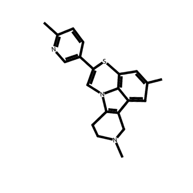 Cc1cc2c3c(c1)c1c(n3C=C(c3ccc(C)nc3)S2)CCN(C)C1